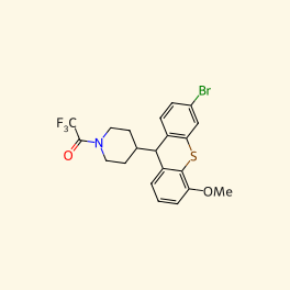 COc1cccc2c1Sc1cc(Br)ccc1C2C1CCN(C(=O)C(F)(F)F)CC1